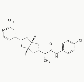 Cc1cc([C@@H]2C[C@@H]3C[C@H]([C@@H](C)C(=O)Nc4ccc(Cl)cc4)C[C@@H]3C2)ccn1